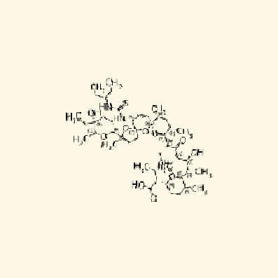 CCC(CC)NC(=S)N[C@@H]1C=C[C@]2(O[C@H]([C@@H](CC)C(=O)[C@@H](C)[C@@H](O)[C@H](C)[C@@H]3O[C@@H](C(CC)C(=O)O)CC[C@@H]3C)[C@@H](C)C[C@H]2C)O[C@@]12CC[C@@](C)([C@H]1CC[C@](O)(CC)[C@H](C)O1)O2